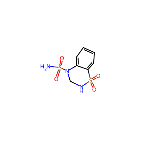 NS(=O)(=O)N1CNS(=O)(=O)c2ccccc21